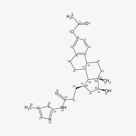 CC(=O)Oc1ccc2c(c1)CCC1C2CC[C@@]2(C)C1[C@H](CCC(=O)Nc1ncc(C)s1)C[C@@H]2O